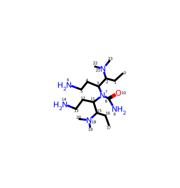 CCC(C(CCN)N(C(N)=O)C(CCN)C(CC)N(C)C)N(C)C